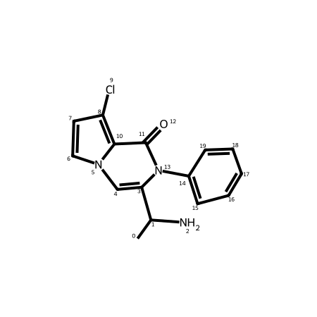 CC(N)c1cn2ccc(Cl)c2c(=O)n1-c1ccccc1